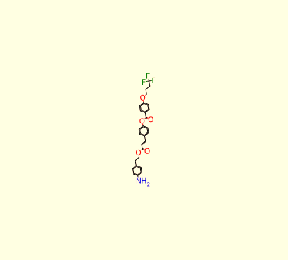 Nc1ccc(CCOC(=O)/C=C/c2ccc(OC(=O)c3ccc(OCCCC(F)(F)F)cc3)cc2)cc1